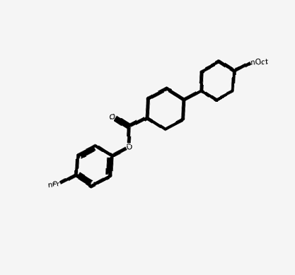 CCCCCCCCC1CCC(C2CCC(C(=O)Oc3ccc(CCC)cc3)CC2)CC1